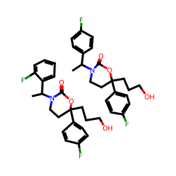 CC(c1ccc(F)cc1)N1CCC(CCCO)(c2ccc(F)cc2)OC1=O.CC(c1ccccc1F)N1CCC(CCCO)(c2ccc(F)cc2)OC1=O